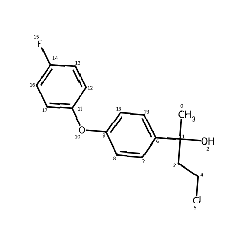 CC(O)(CCCl)c1ccc(Oc2ccc(F)cc2)cc1